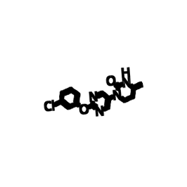 C=C1CCN(c2cnc(Oc3cccc(Cl)c3)nc2)C(=O)N1